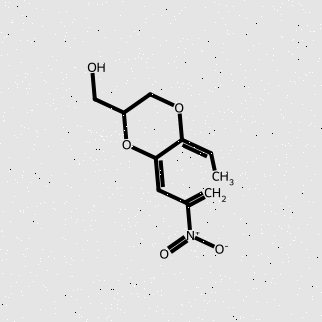 C=C(/C=C1/OC(CO)CO/C1=C/C)[N+](=O)[O-]